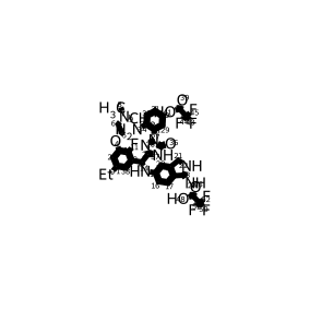 CCc1cc(OCCN(C)C)c(F)c(C(Nc2ccc3c(c2)CNC3=N)c2nn(-c3ccccc3N)c(=O)[nH]2)c1.O=C(O)C(F)(F)F.O=C(O)C(F)(F)F